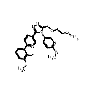 COCCOCc1nnc(-c2ccc(-c3cccc(OC)c3F)nc2)n1-c1ccc(OC)nc1